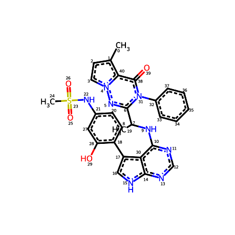 Cc1ccn2nc(C(C)Nc3ncnc4[nH]cc(-c5ccc(NS(C)(=O)=O)cc5O)c34)n(-c3ccccc3)c(=O)c12